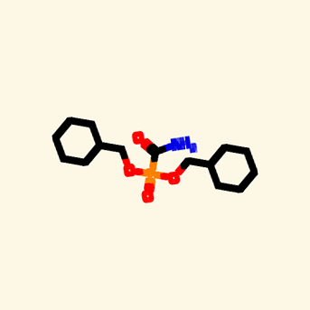 NC(=O)P(=O)(OCC1CCCCC1)OCC1CCCCC1